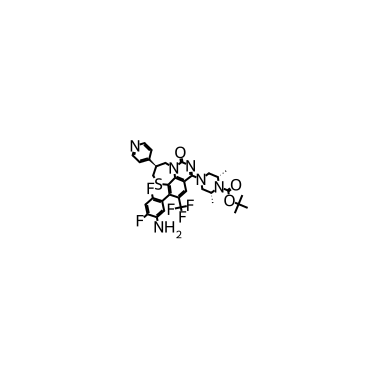 C[C@@H]1CN(c2nc(=O)n3c4c(c(-c5cc(N)c(F)cc5F)c(C(F)(F)F)cc24)SC[C@@H](c2ccncc2)C3)C[C@H](C)N1C(=O)OC(C)(C)C